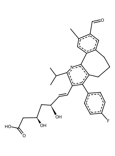 Cc1cc2c(cc1C=O)CCCc1c-2nc(C(C)C)c(/C=C/[C@@H](O)C[C@@H](O)CC(=O)O)c1-c1ccc(F)cc1